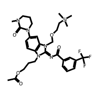 CC(=O)OCCCn1/c(=N/C(=O)c2cccc(C(F)(F)F)c2)n(COCC[Si](C)(C)C)c2cc(N3CCCN(C)C3=O)ccc21